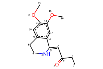 CCC(=O)C=C1NCCc2cc(OC)c(OC)cc21